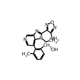 CCn1c(-c2nonc2N)nc2cncc(-c3c(C)cccc3C)c21.Cl